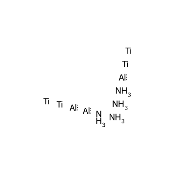 N.N.N.N.[Al].[Al].[Al].[Ti].[Ti].[Ti].[Ti]